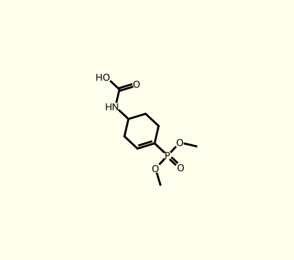 COP(=O)(OC)C1=CCC(NC(=O)O)CC1